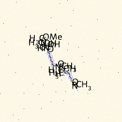 COC(C)CN(C)C(=O)C(O)(CO)NC(=O)/C=C/C=C/C=C/C=C\CNC(=O)C(C)(C)C(O)\C(C)=C/C=C\C=C\Cc1cnc(C)o1